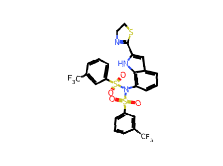 O=S(=O)(c1cccc(C(F)(F)F)c1)N(c1cccc2cc(C3=NCCS3)[nH]c12)S(=O)(=O)c1cccc(C(F)(F)F)c1